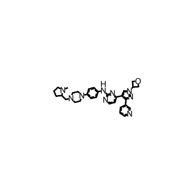 CN1CCCC1CN1CCN(c2ccc(Nc3nccc(-c4cn(C5COC5)nc4-c4cccnc4)n3)cc2)CC1